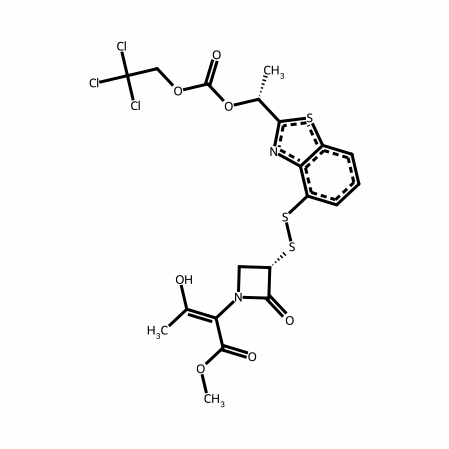 COC(=O)C(=C(C)O)N1C[C@H](SSc2cccc3sc([C@@H](C)OC(=O)OCC(Cl)(Cl)Cl)nc23)C1=O